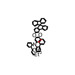 C=C(/C=C\CC)C1C=CC=CC1N(c1ccc2c(c1)Oc1ccc3c(c1O2)-c1ccccc1C31c2ccccc2-c2ccccc21)c1ccccc1-c1ccccc1